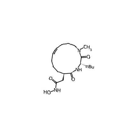 CCCC[C@@H]1NC(=O)[C@@H](CC(=O)NO)CCCC=CCCCN(C)C1=O